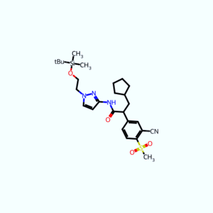 CC(C)(C)[Si](C)(C)OCCn1ccc(NC(=O)C(CC2CCCC2)c2ccc(S(C)(=O)=O)c(C#N)c2)n1